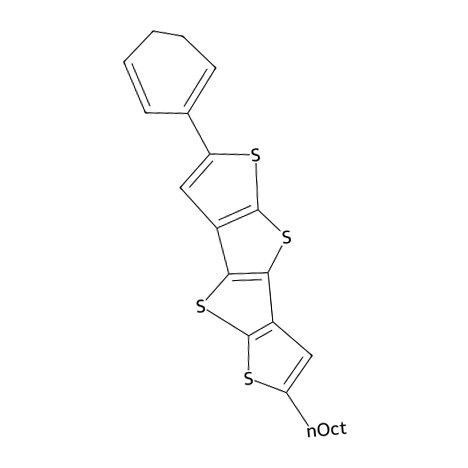 CCCCCCCCc1cc2c(s1)sc1c3cc(C4=CCCC=C4)sc3sc21